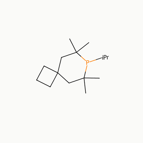 CC(C)P1C(C)(C)CC2(CCC2)CC1(C)C